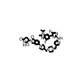 Cc1nc2c(F)cc(-c3nc(Nc4ccc(CN5CCN(CC6CCN(c7ccc8c(c7)CN(C7CCC(=O)NC7=O)C8=O)CC6)CC5)cn4)ncc3F)cc2n1C(C)C